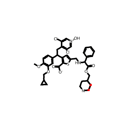 COc1ccc(C(Cc2c(Cl)c[n+](O)cc2Cl)c2cc(CNC(C(=O)OCC34CCN(CC3)CC4)c3ccccc3)sc2C(=O)[O-])cc1OCC1CC1